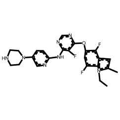 CCn1c(C)cc2c(F)c(Oc3ncnc(Nc4ccc(N5CCNCC5)cn4)c3F)cc(F)c21